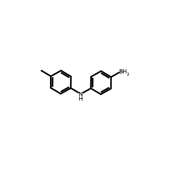 Bc1ccc(Nc2ccc(C)cc2)cc1